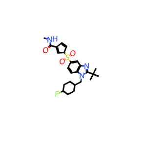 CNC(=O)C1=CC(S(=O)(=O)c2ccc3c(c2)nc(C(C)(C)C)n3CC2CCC(F)CC2)C=C1